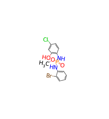 COP(=O)(Nc1ccc(Cl)cc1O)Nc1ccccc1Br